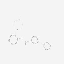 O=C(Nc1ccccc1N1CCC(C(=O)O)CC1)c1csc(-c2cccs2)n1